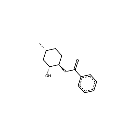 C[C@@H]1CC[C@@H](SC(=O)c2ccccc2)[C@H](O)C1